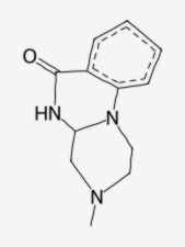 CN1CCN2c3ccccc3C(=O)NC2C1